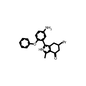 Cc1[nH]c(-c2cc(N)ccc2Oc2ccccc2)c2c1C(=O)CC(C(C)C)C2